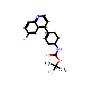 CC(C)(C)OC(=O)NC1CC=C(c2ccnc3ccc(F)cc23)CC1